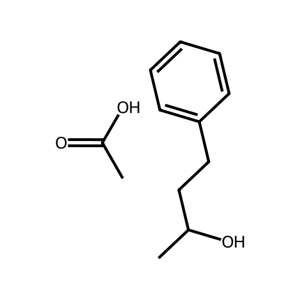 CC(=O)O.CC(O)CCc1ccccc1